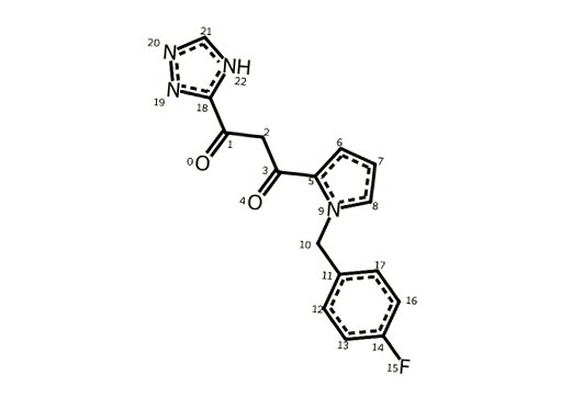 O=C(CC(=O)c1cccn1Cc1ccc(F)cc1)c1nnc[nH]1